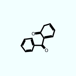 O=C1CC=CC=C1C(=O)c1ccccc1